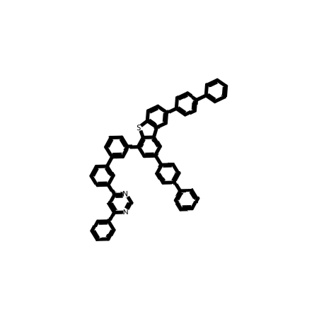 c1ccc(-c2ccc(-c3ccc4sc5c(-c6cccc(-c7cccc(-c8cc(-c9ccccc9)ncn8)c7)c6)cc(-c6ccc(-c7ccccc7)cc6)cc5c4c3)cc2)cc1